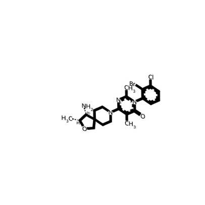 Cc1c(N2CCC3(CC2)CO[C@H](C)[C@@H]3N)nc(C)n(-c2cccc(Cl)c2Br)c1=O